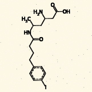 CC(CC(N)CC(=O)O)NC(=O)CCCc1ccc(I)cc1